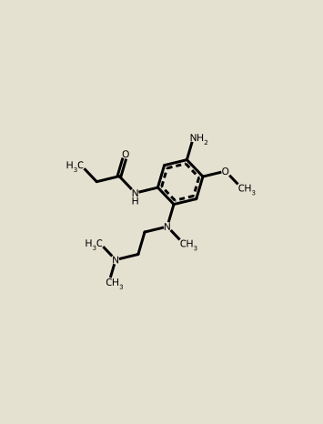 CCC(=O)Nc1cc(N)c(OC)cc1N(C)CCN(C)C